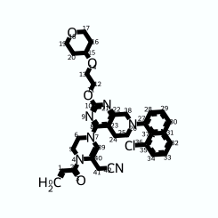 C=CC(=O)N1CCN(c2nc(OCCOC3CCOCC3)nc3c2CCN(c2cccc4cccc(Cl)c24)C3)C=C1CC#N